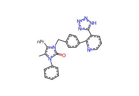 CCCc1c(C)n(-c2ccccc2)c(=O)n1Cc1ccc(-c2ncccc2-c2nnn[nH]2)cc1